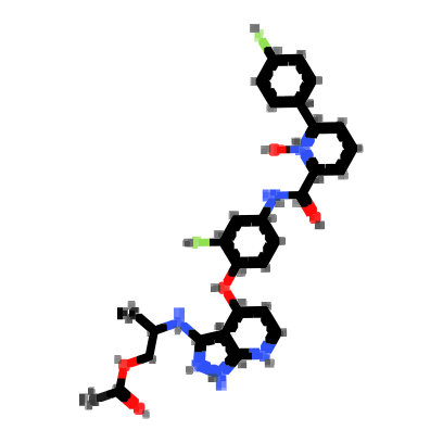 CC(COC(=O)C(F)(F)F)Nc1n[nH]c2nccc(Oc3ccc(NC(=O)c4cccc(-c5ccc(F)cc5)[n+]4[O-])cc3F)c12